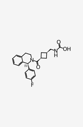 O=C(O)NC[C@H]1C[C@@H](C(=O)N2CCc3ccccc3[C@@H]2c2ccc(F)cc2)C1